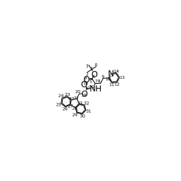 CC(C)(C)OC(=O)C(CCc1ccccn1)NC(=O)OCC1c2ccccc2-c2ccccc21